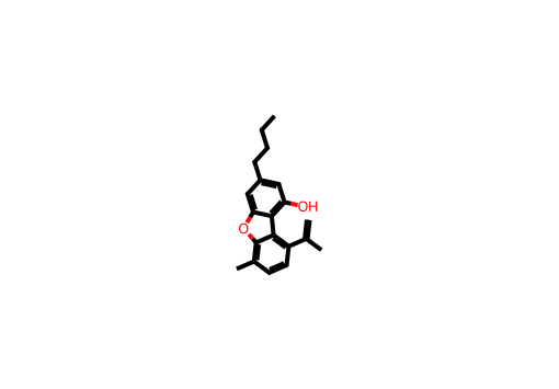 C=C(C)c1ccc(C)c2oc3cc(CCCC)cc(O)c3c12